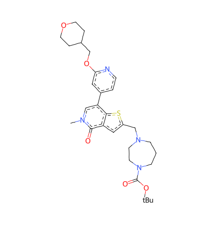 Cn1cc(-c2ccnc(OCC3CCOCC3)c2)c2sc(CN3CCCN(C(=O)OC(C)(C)C)CC3)cc2c1=O